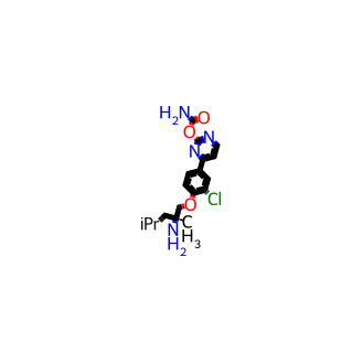 CC(C)C[C@](C)(N)COc1ccc(-c2ccnc(OC(N)=O)n2)cc1Cl